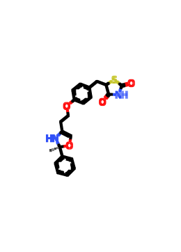 C[C@]1(c2ccccc2)NC(CCOc2ccc(CC3SC(=O)NC3=O)cc2)=CO1